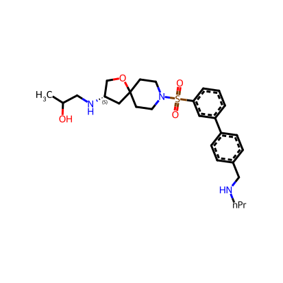 CCCNCc1ccc(-c2cccc(S(=O)(=O)N3CCC4(CC3)C[C@H](NCC(C)O)CO4)c2)cc1